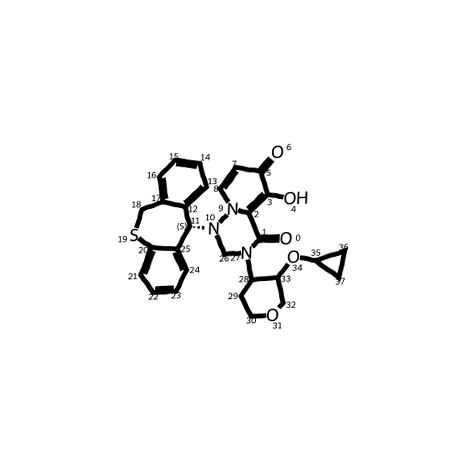 O=C1c2c(O)c(=O)ccn2N([C@H]2c3ccccc3CSc3ccccc32)CN1C1CCOCC1OC1CC1